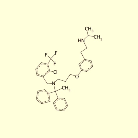 CC(C)NCCc1cccc(OCCCN(Cc2cccc(C(F)(F)F)c2Cl)C(C)(c2ccccc2)c2ccccc2)c1